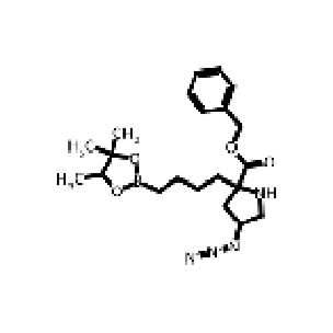 CC1OB(CCCCC2(C(=O)OCc3ccccc3)CC(N=[N+]=[N-])CN2)OC1(C)C